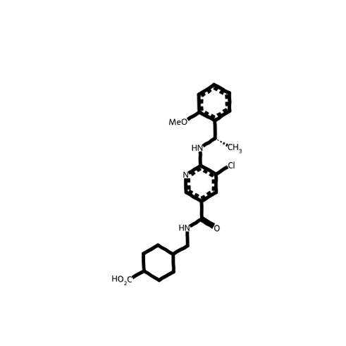 COc1ccccc1[C@H](C)Nc1ncc(C(=O)NCC2CCC(C(=O)O)CC2)cc1Cl